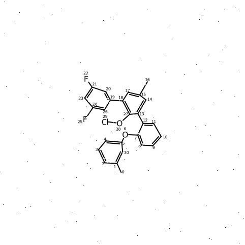 Cc1cccc(Oc2ccccc2-c2cc(C)cc(-c3cc(F)cc(F)c3)c2OCl)c1